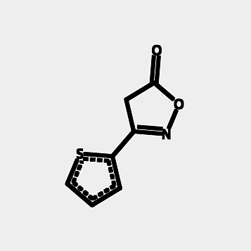 O=C1CC(c2cccs2)=NO1